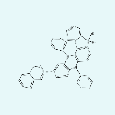 CCC1(CC)c2ccccc2-c2c1ccc1c2N(c2ccccc2)c2cc(-c3ccc4ccccc4c3)ccc2N1c1ccccc1